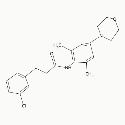 Cc1cc(N2CCOCC2)cc(C)c1NC(=O)CCc1cccc(Cl)c1